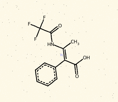 C/C(NC(=O)C(F)(F)F)=C(\C(=O)O)c1ccccc1